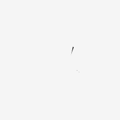 COC1=N[C@H](Cc2ccccc2)[C@@H](C)C1